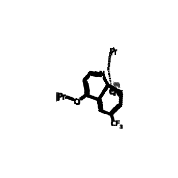 CC(C)OC1=CC=NC23O[C@H](C(C)C)CN=C2C=C(C(F)(F)F)C=C13